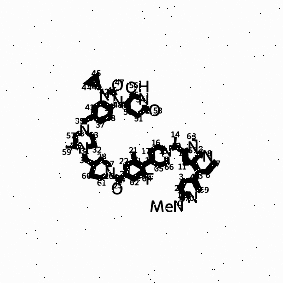 CNc1ccc(-c2ccnc3c2cc([C@H](C)N2CC=C(c4c(C)cc(C(=O)N5CCC(CN6CCN(Cc7ccc8c(c7)n(C7CC7)c(=O)n8[C@H]7CCC(=O)NC7=O)C[C@@H]6C)CC5)cc4F)CC2)n3C)cn1